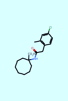 Cc1cc(Cl)ccc1CC(=O)NC1(C(=O)O)CCCCCCC1